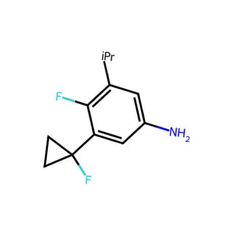 CC(C)c1cc(N)cc(C2(F)CC2)c1F